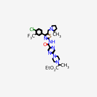 CCOC(=O)C(C)N1CCN(c2cnc(C(=O)Nc3nc(-c4ccc(Cl)c(C(F)(F)F)c4)c(CN4CCC[C@H]4C)s3)cn2)CC1